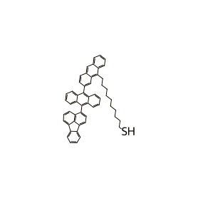 SCCCCCCCCCCc1c2ccccc2cc2ccc(-c3c4ccccc4c(-c4ccc5c6c(cccc46)-c4ccccc4-5)c4ccccc34)cc12